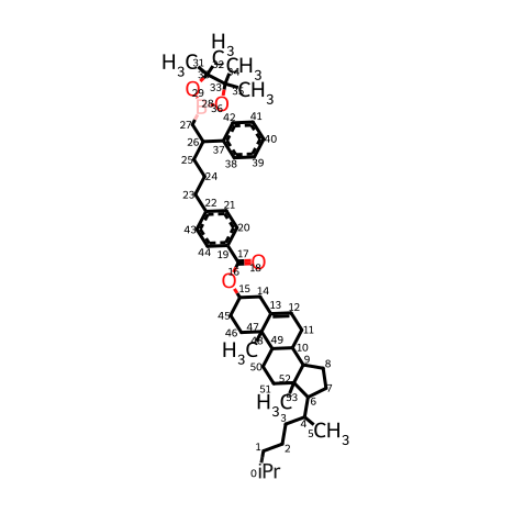 CC(C)CCCC(C)C1CCC2C3CC=C4CC(OC(=O)c5ccc(CCCC(CB6OC(C)(C)C(C)(C)O6)c6ccccc6)cc5)CCC4(C)C3CCC12C